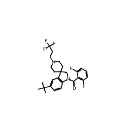 CC(C)(C)c1ccc2c(c1)C1(CCN(CCC(F)(F)F)CC1)CN2C(=O)c1c(F)cccc1F